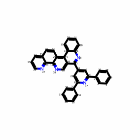 c1ccc(-c2cc(-c3nc4ccccc4c4c3cnc3c4ccc4cccnc43)cc(-c3ccccc3)n2)cc1